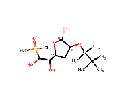 B[C@@H]1O[C@H](C(O)C(O)P(C)(C)=O)C[C@@H]1O[Si](C)(C)C(C)(C)C